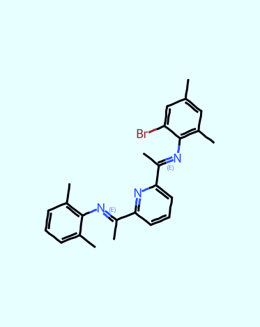 C/C(=N\c1c(C)cccc1C)c1cccc(/C(C)=N/c2c(C)cc(C)cc2Br)n1